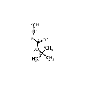 C#[N+]CC(=O)OC(C)(C)C